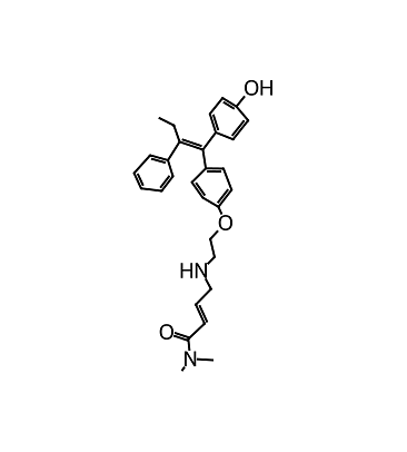 CC/C(=C(\c1ccc(O)cc1)c1ccc(OCCNC/C=C/C(=O)N(C)C)cc1)c1ccccc1